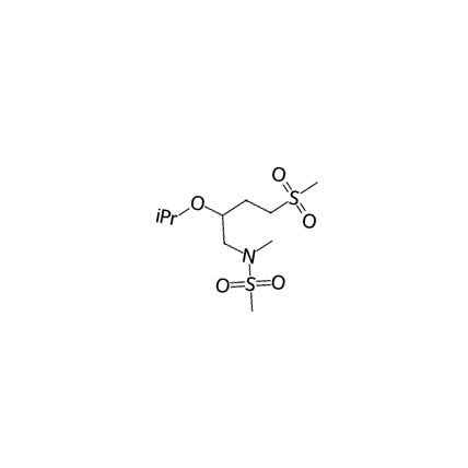 CC(C)OC(CCS(C)(=O)=O)CN(C)S(C)(=O)=O